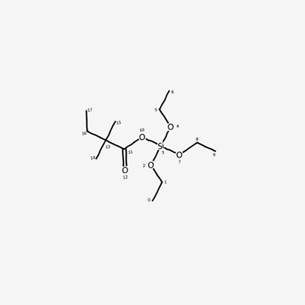 CCO[Si](OCC)(OCC)OC(=O)C(C)(C)CC